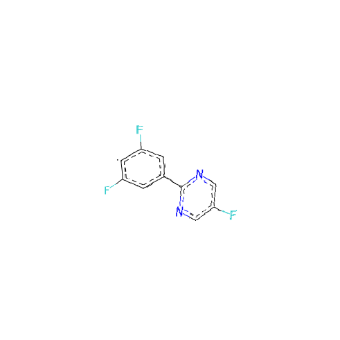 Fc1[c]c(F)cc(-c2ncc(F)cn2)c1